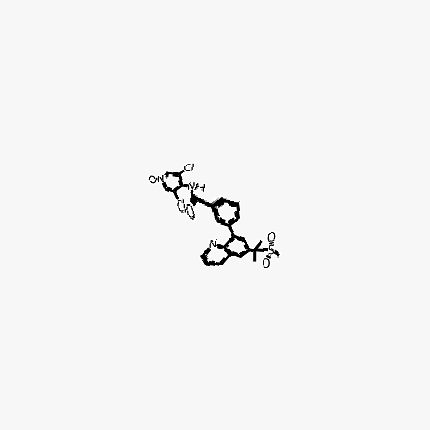 CC(C)(c1cc(-c2cccc(C(=O)Nc3c(Cl)c[n+]([O-])cc3Cl)c2)c2ncccc2c1)S(C)(=O)=O